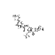 CC1(C)CN(C(=O)c2sc3cnc(Nc4ccc(N5CCNCC5)cn4)cc3c2C2CCC2)C1